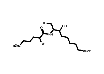 CCCCCCCCCCCCCCCC(O)C(CO)NC(=O)C(O)CCCCCCCCCCCCC